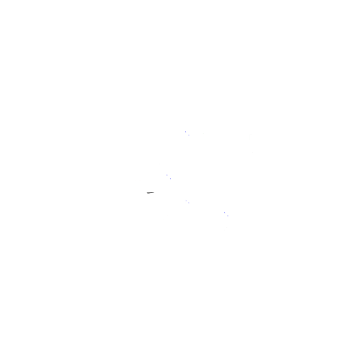 CN[C@H]1CCN(C(=O)[C@@H](COCc2ccccc2)NC(=O)c2cccnc2Oc2ccc(C(F)(F)F)cc2Cl)C1